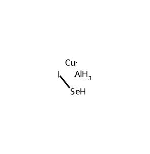 [AlH3].[Cu].[SeH]I